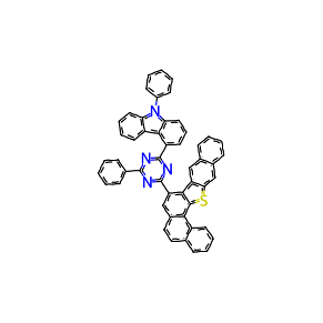 c1ccc(-c2nc(-c3cc4ccc5ccccc5c4c4sc5cc6ccccc6cc5c34)nc(-c3cccc4c3c3ccccc3n4-c3ccccc3)n2)cc1